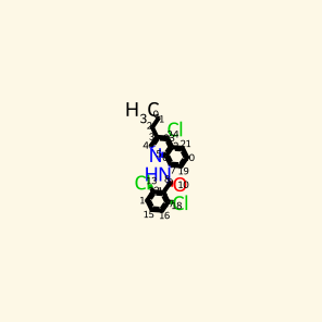 CCCc1cnc2c(NC(=O)c3c(Cl)cccc3Cl)cccc2c1Cl